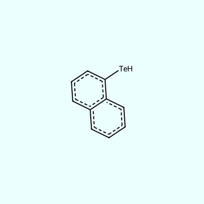 [TeH]c1cccc2ccccc12